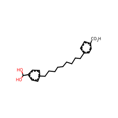 O=C(O)c1ccc(CCCCCCCCCc2ccc(C(O)O)cc2)cc1